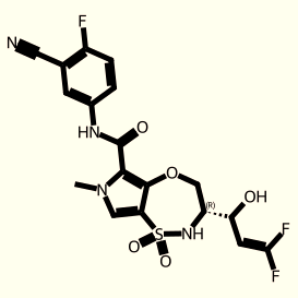 Cn1cc2c(c1C(=O)Nc1ccc(F)c(C#N)c1)OC[C@H](C(O)C=C(F)F)NS2(=O)=O